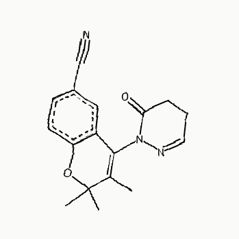 CC1=C(N2N=CCCC2=O)c2cc(C#N)ccc2OC1(C)C